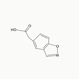 O=C(O)Cc1ccc2oncc2c1